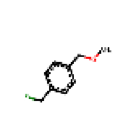 COCc1ccc(CF)cc1